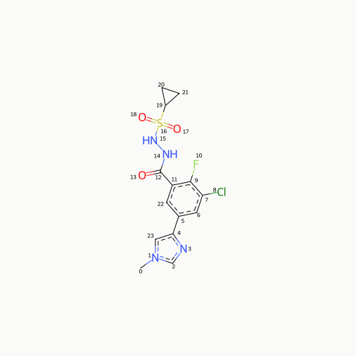 Cn1cnc(-c2cc(Cl)c(F)c(C(=O)NNS(=O)(=O)C3CC3)c2)c1